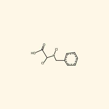 O=C(O)C(Cl)N(Cl)Cc1ccccc1